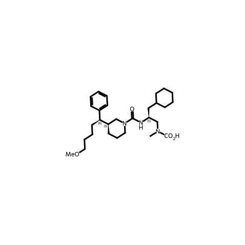 COCCCC[C@@H](c1ccccc1)[C@@H]1CCCN(C(=O)N[C@@H](CC2CCCCC2)CN(C)C(=O)O)C1